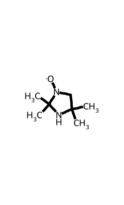 CC1(C)CN([O])C(C)(C)N1